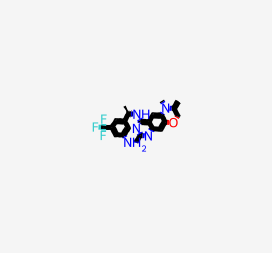 C=C1COc2cc3nc(C)nc(N[C@H](C)c4cc(N)cc(C(F)(F)F)c4)c3cc2N1C